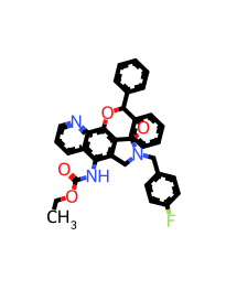 CCOC(=O)Nc1c2c(c(OC(c3ccccc3)c3ccccc3)c3ncccc13)C(=O)N(Cc1ccc(F)cc1)C2